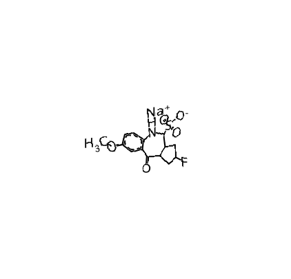 COc1ccc2c(c1)C(=O)C1CC(F)CC1C(S(=O)(=O)[O-])N2.[Na+]